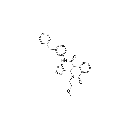 COCCN1C(=O)c2ccccc2C(C(=O)Nc2cccc(Cc3ccccc3)c2)C1c1cccs1